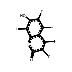 O=c1oc2c(F)c(O)c(F)c(F)c2c(F)c1F